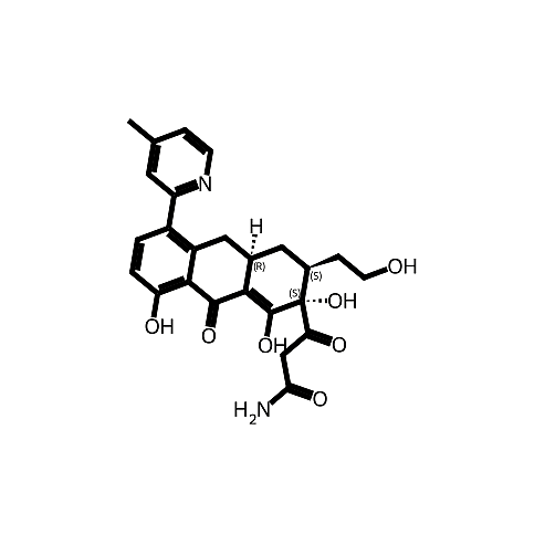 Cc1ccnc(-c2ccc(O)c3c2C[C@H]2C[C@@H](CCO)[C@@](O)(C(=O)CC(N)=O)C(O)=C2C3=O)c1